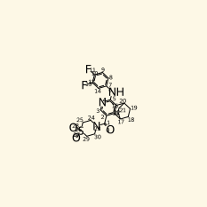 O=C(c1cnc(Nc2ccc(F)c(F)c2)c2c1C1CCC2CC1)N1CCS(=O)(=O)CC1